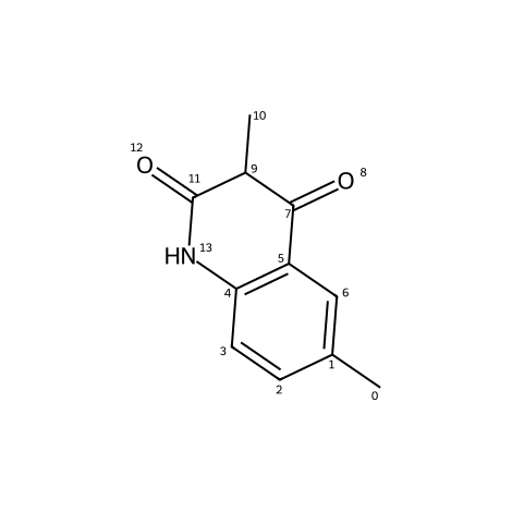 Cc1ccc2c(c1)C(=O)C(C)C(=O)N2